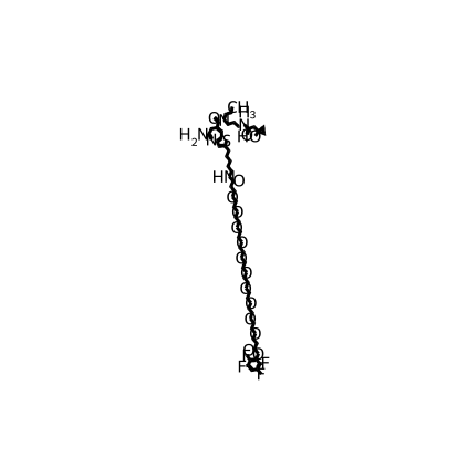 CCCN(CCCNC(=O)CC1(O)CC1)C(=O)C1=Cc2sc(CCCCCNC(=O)CCOCCOCCOCCOCCOCCOCCOCCOCCOCCOCCC(=O)Oc3c(F)c(F)cc(F)c3F)cc2N=C(N)C1